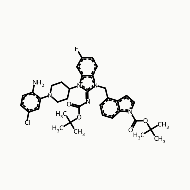 CC(C)(C)OC(=O)N=c1n(Cc2cccc3c2ccn3C(=O)OC(C)(C)C)c2ccc(F)cc2n1C1CCN(c2cc(Cl)ccc2N)CC1